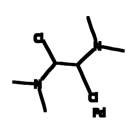 CN(C)C(Cl)C(Cl)N(C)C.[Pd]